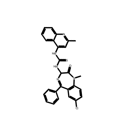 Cc1cc(NC(=S)NC2N=C(c3ccccc3)c3cc(Cl)ccc3N(C)C2=O)c2ccccc2n1